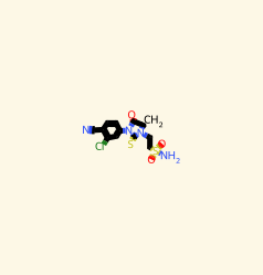 C=C1C(=O)N(c2ccc(C#N)c(Cl)c2)C(=S)N1CCS(N)(=O)=O